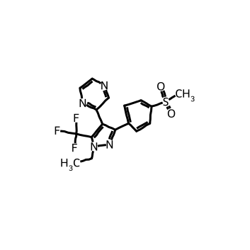 CCn1nc(-c2ccc(S(C)(=O)=O)cc2)c(-c2cnccn2)c1C(F)(F)F